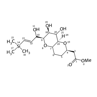 COC(=O)C[C@H]1CCC2O[C@@H](C(O)/C=C/[Si](C)(C)C)[C@@H](O)C(O)[C@H]2O1